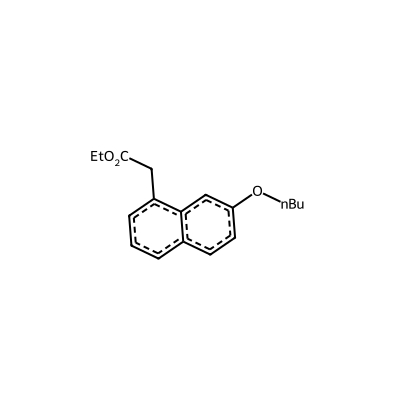 CCCCOc1ccc2cccc(CC(=O)OCC)c2c1